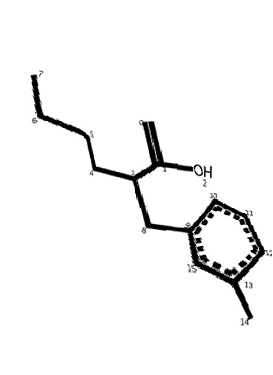 C=C(O)C(CCCC)Cc1cccc(C)c1